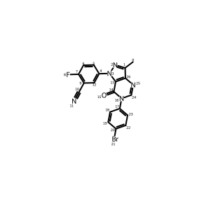 Cc1nn(-c2ccc(F)c(C#N)c2)c2c(=O)n(-c3ccc(Br)cc3)cnc12